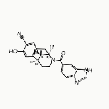 C[C@@H]1[C@H]2Cc3cc(C#N)c(O)cc3[C@]1(C)CCN2C(=O)c1ccc2nc[nH]c2c1